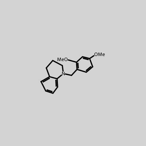 COc1ccc(CN2CCCc3ccccc32)c(OC)c1